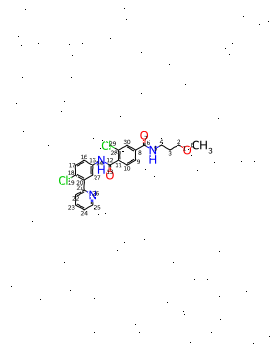 COCCCNC(=O)c1ccc(C(=O)Nc2ccc(Cl)c(-c3ccccn3)c2)c(Cl)c1